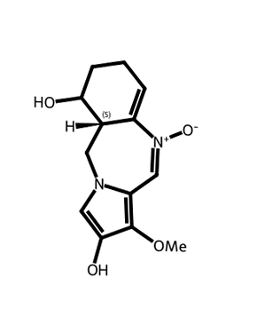 COc1c(O)cn2c1C=[N+]([O-])C1=CCCC(O)[C@H]1C2